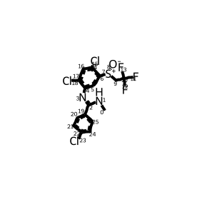 CN/C(=N\c1cc([S+]([O-])CC(F)(F)F)c(Cl)cc1Cl)c1ccc(Cl)cc1